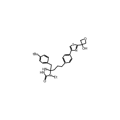 CCN1C(=O)NNC1(CCCc1ccc(-c2csc(C3(O)COC3)n2)cc1)Cc1ccc(C(C)(C)C)cc1